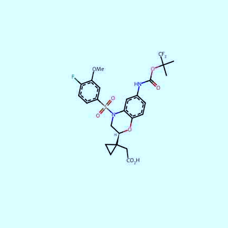 COc1cc(S(=O)(=O)N2C[C@H](C3(CC(=O)O)CC3)Oc3ccc(NC(=O)OC(C)(C)C(F)(F)F)cc32)ccc1F